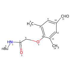 CCCCNC(=O)COc1c(C)cc(C=O)cc1C